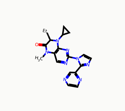 CCC1C(=O)N(C)c2cnc(-n3ccnc3-c3cnccn3)nc2N1C1CC1